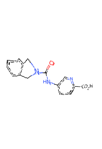 O=C(O)c1ccc(NC(=O)N2Cc3ccccc3C2)cn1